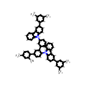 N#Cc1cc(C(F)(F)F)ccc1-c1ccc(-n2c3ccccc3c3cc(-c4cc(C(F)(F)F)cc(C(F)(F)F)c4)ccc32)c(-c2cc(-n3c4ccccc4c4cc(-c5cc(C(F)(F)F)cc(C(F)(F)F)c5)ccc43)ccc2C#N)c1